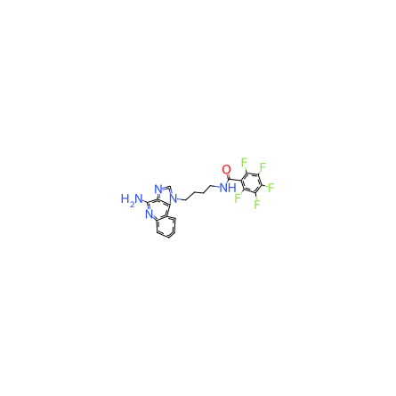 Nc1nc2ccccc2c2c1ncn2CCCCNC(=O)c1c(F)c(F)c(F)c(F)c1F